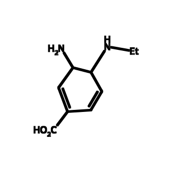 CCNC1C=CC(C(=O)O)=CC1N